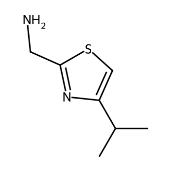 CC(C)c1csc(CN)n1